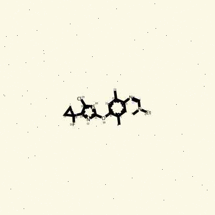 CCN(C)/C=N\c1cc(C)c(Oc2nc(C3(F)CC3)c(Cl)s2)cc1C